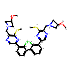 COC1CN(Cc2ncc(-c3cccc(-c4cccc(-c5cnc(CN6CC(OC)C6)c(SC)n5)c4Cl)c3Cl)nc2SC)C1